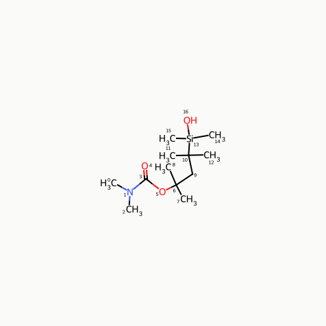 CN(C)C(=O)OC(C)(C)CC(C)(C)[Si](C)(C)O